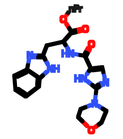 CCCOC(=O)C(Cc1nc2ccccc2[nH]1)NC(=O)c1cnc(N2CCOCC2)[nH]1